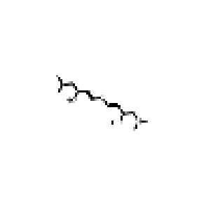 CN(C)CC(O)C=COC=CC(O)CN(C)C